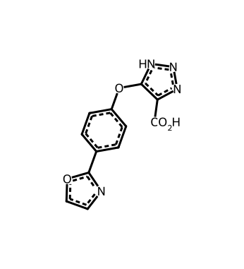 O=C(O)c1nn[nH]c1Oc1ccc(-c2ncco2)cc1